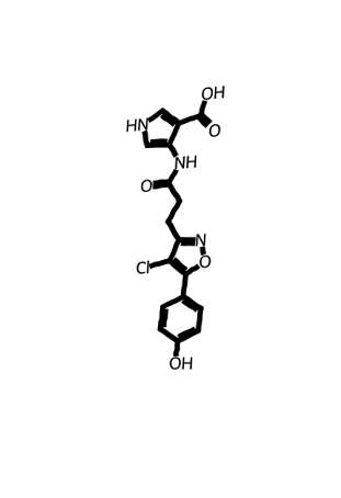 O=C(CCc1noc(-c2ccc(O)cc2)c1Cl)Nc1c[nH]cc1C(=O)O